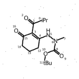 CC(C)C(=O)C1=C(NN(C)C(=O)OC(C)(C)C)CCCC1=O